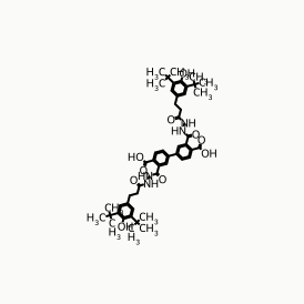 CC(C)(C)c1cc(CCC(=O)NNC(=O)c2cc(-c3ccc(C(=O)O)c(C(=O)NNC(=O)CCc4cc(C(C)(C)C)c(O)c(C(C)(C)C)c4)c3)ccc2C(=O)O)cc(C(C)(C)C)c1O